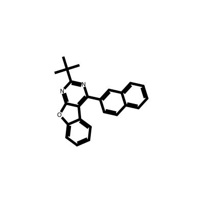 CC(C)(C)c1nc(-c2ccc3ccccc3c2)c2c(n1)oc1ccccc12